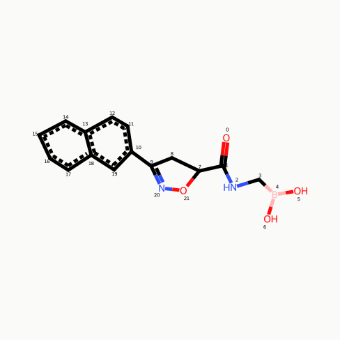 O=C(NCB(O)O)C1CC(c2ccc3ccccc3c2)=NO1